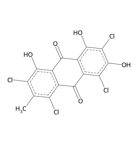 Cc1c(Cl)c(O)c2c(c1Cl)C(=O)c1c(Cl)c(O)c(Cl)c(O)c1C2=O